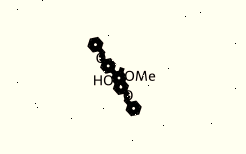 COc1c(C)c(-c2ccc(OCc3ccccc3)cc2)c(O)c2ccc(OCc3ccccc3)cc12